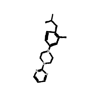 Cc1cc(N2CCN(c3ncccn3)CC2)ccc1CC(C)C